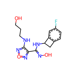 OCCCNc1nonc1/C(=N/O)NC1Cc2ccc(F)cc21